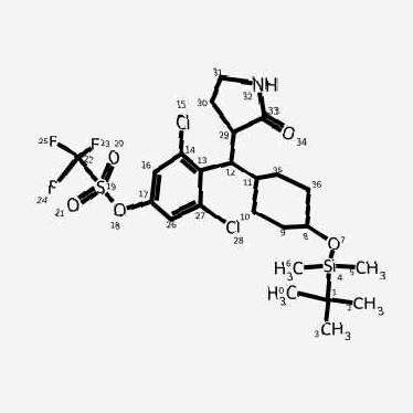 CC(C)(C)[Si](C)(C)OC1CCC(C(c2c(Cl)cc(OS(=O)(=O)C(F)(F)F)cc2Cl)C2CCNC2=O)CC1